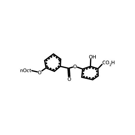 CCCCCCCCOc1cccc(C(=O)Oc2cccc(C(=O)O)c2O)c1